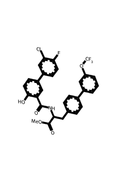 COC(=O)C(Cc1ccc(-c2cccc(OC(F)(F)F)c2)cc1)NC(=O)c1cc(-c2ccc(F)c(Cl)c2)ccc1O